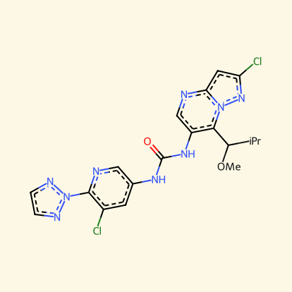 COC(c1c(NC(=O)Nc2cnc(-n3nccn3)c(Cl)c2)cnc2cc(Cl)nn12)C(C)C